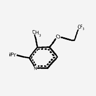 Cc1c(OCC(F)(F)F)ccnc1C(C)C